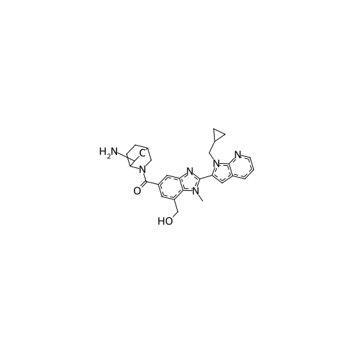 Cn1c(-c2cc3cccnc3n2CC2CC2)nc2cc(C(=O)N3CC4CCC3C(N)C4)cc(CO)c21